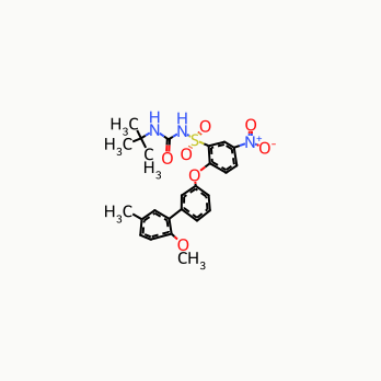 COc1ccc(C)cc1-c1cccc(Oc2ccc([N+](=O)[O-])cc2S(=O)(=O)NC(=O)NC(C)(C)C)c1